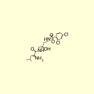 CC(C)C[C@H](N)C(=O)NC[C@@H](O)CCNS(=O)(=O)c1ccc(Cl)cc1Cl